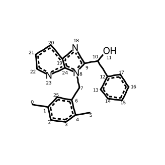 Cc1ccc(C)c(Cn2c(C(O)c3ccccc3)nc3cccnc32)c1